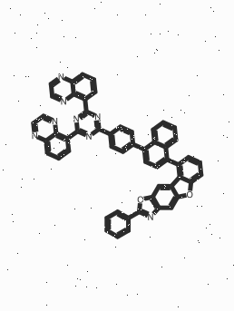 c1ccc(-c2nc3cc4oc5cccc(-c6ccc(-c7ccc(-c8nc(-c9cccc%10nccnc9%10)nc(-c9cccc%10nccnc9%10)n8)cc7)c7ccccc67)c5c4cc3o2)cc1